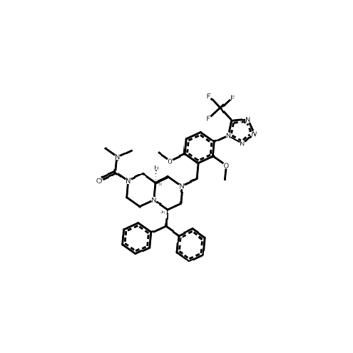 COc1ccc(-n2nnnc2C(F)(F)F)c(OC)c1CN1C[C@@H]2CN(C(=O)N(C)C)CCN2[C@H](C(c2ccccc2)c2ccccc2)C1